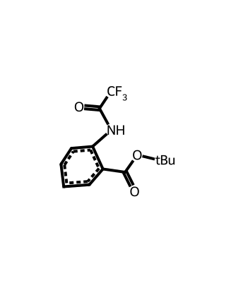 CC(C)(C)OC(=O)c1ccccc1NC(=O)C(F)(F)F